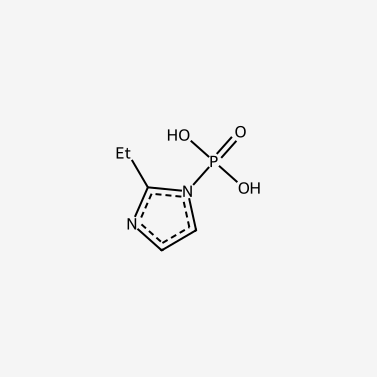 CCc1nccn1P(=O)(O)O